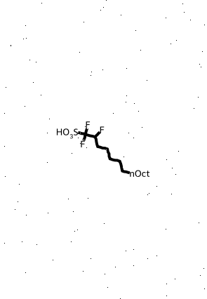 CCCCCCCCCCCCCC(F)C(F)(F)S(=O)(=O)O